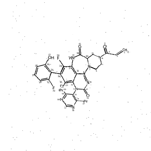 C=CC(=O)N1CCN2c3nc(=O)n(-c4c(C(C)C)ncnc4C(C)C)c4c(Cl)c(-c5c(O)cccc5F)c(F)c(c34)NC(=O)C2C1